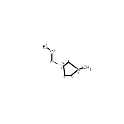 CCOC[C@H]1CCN(C)C1